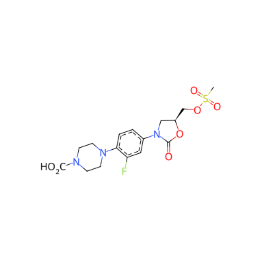 CS(=O)(=O)OC[C@@H]1CN(c2ccc(N3CCN(C(=O)O)CC3)c(F)c2)C(=O)O1